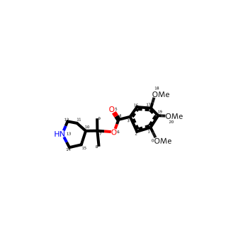 COc1cc(C(=O)OC(C)(C)C2CCNCC2)cc(OC)c1OC